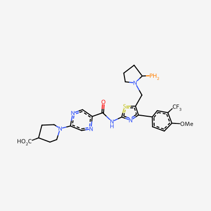 COc1ccc(-c2nc(NC(=O)c3cnc(N4CCC(C(=O)O)CC4)cn3)sc2CN2CCCC2P)cc1C(F)(F)F